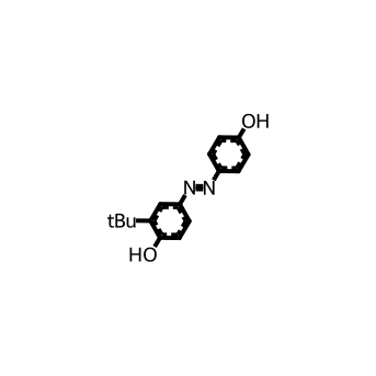 CC(C)(C)c1cc(/N=N/c2ccc(O)cc2)ccc1O